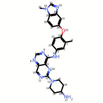 Cc1cc(Nc2ncnc3cnc(N4CCC(N)CC4)nc23)ccc1Oc1ccc2c(c1)ncn2C